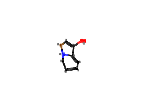 OC1=CSN2CC=CC=C12